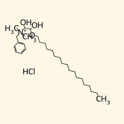 CCCCCCCCCCCCCCCCCCOC(O)C(O)[N+](C)(C)Cc1ccccc1.Cl